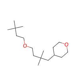 CC(C)(C)CCOCCC(C)(C)CC1CCOCC1